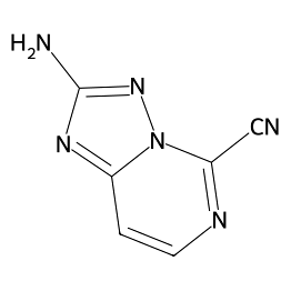 N#Cc1nccc2nc(N)nn12